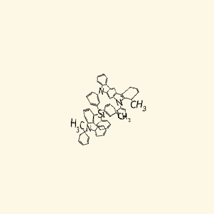 CC1C=C([Si](C2=CC=CCC2)(c2cccc(-n3c4ccccc4c4cc5c6c(n(-c7ccccc7)c5cc43)C(C)CCC6)c2)c2cccc3c2c2ccccc2n3C2(C)C=CC=CC2)C=CC1